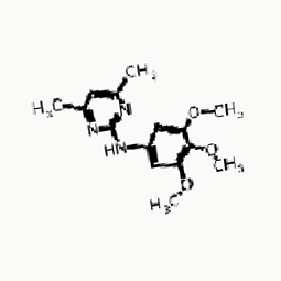 COc1cc(Nc2nc(C)cc(C)n2)cc(OC)c1OC